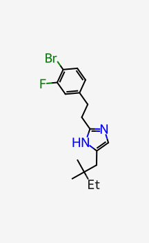 CCC(C)(C)Cc1cnc(CCc2ccc(Br)c(F)c2)[nH]1